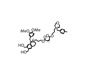 COc1ccc(C[C@@H]2c3cc(CO)c(CO)cc3CC[N@@+]2(C)CCCOC(=O)/C=C\C(=O)OCCC[N+]2(Cc3ccc(C)cc3)CCOCC2)cc1OC